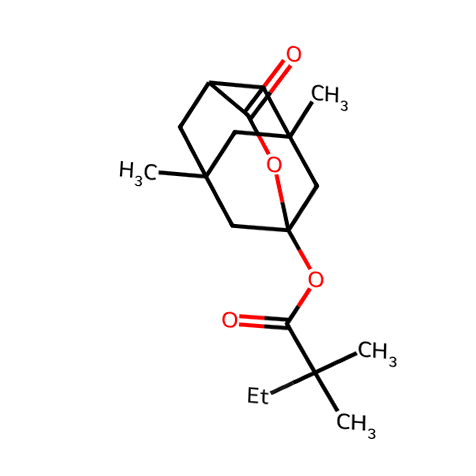 CCC(C)(C)C(=O)OC12CC3(C)CC(CC(C)(C3)C1)C(=O)O2